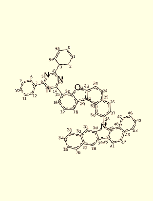 C1=CCC(c2nc(-c3ccccc3)nc(-c3cccc4c3oc3ccc5ccc(-n6c7cc8ccccc8cc7c7ccc8ccccc8c76)cc5c34)n2)C=C1